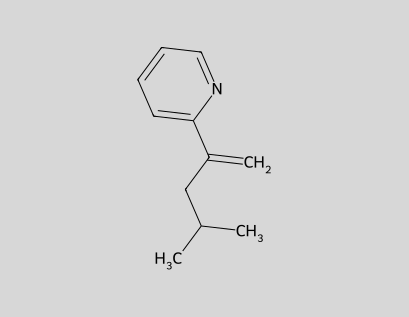 C=C(CC(C)C)c1ccccn1